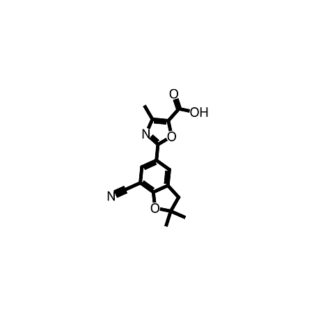 Cc1nc(-c2cc(C#N)c3c(c2)CC(C)(C)O3)oc1C(=O)O